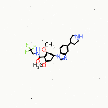 COc1cc(-n2cnc3cc(C4CCNCC4)ccc32)cc(OC)c1C(=O)NCC(F)(F)F